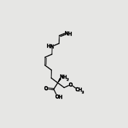 COC[C@@](N)(CC/C=C\CNCC=N)C(=O)O